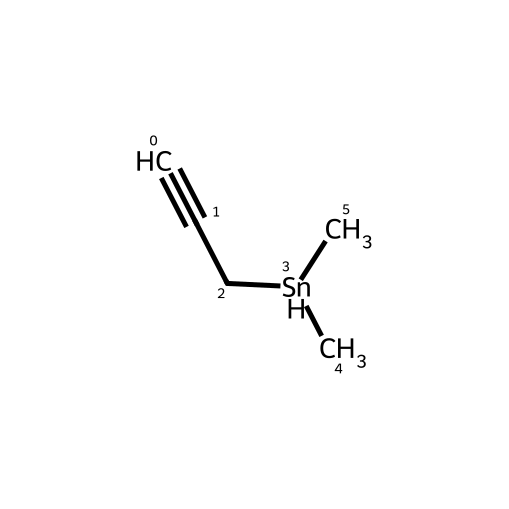 C#C[CH2][SnH]([CH3])[CH3]